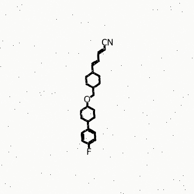 N#CC=CC=CC1CCC(COC2CCC(c3ccc(F)cc3)CC2)CC1